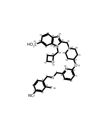 N#Cc1ccc(CSCc2cccc(OC3CCN(Cc4nc5ccc(C(=O)O)cc5n4CC4CCO4)CC3)n2)c(F)c1